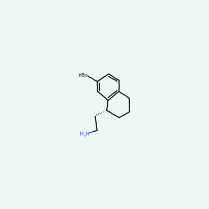 CCCCc1ccc2c(c1)[C@@H](CCN)CCC2